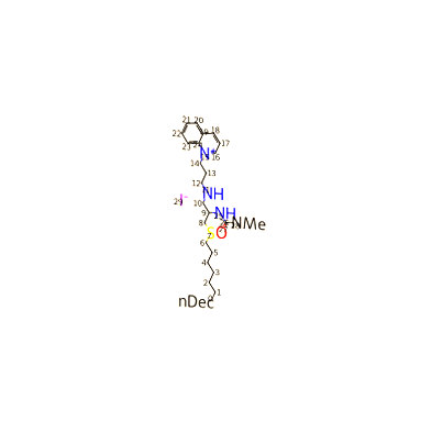 CCCCCCCCCCCCCCCCSCC(CNCCC[n+]1cccc2ccccc21)NC(=O)NC.[I-]